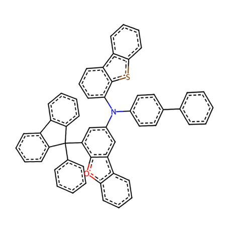 c1ccc(-c2ccc(N(c3cc(C4(c5ccccc5)c5ccccc5-c5ccccc54)c4oc5ccccc5c4c3)c3cccc4c3sc3ccccc34)cc2)cc1